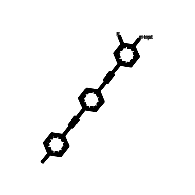 CCCCCCCc1ccc(C#Cc2ccc(C#Cc3ccc(C)cc3)cc2)cc1F